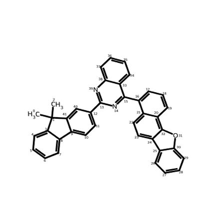 CC1(C)c2ccccc2-c2ccc(-c3nc(-c4cccc5c4ccc4c6ccccc6oc54)c4ccccc4n3)cc21